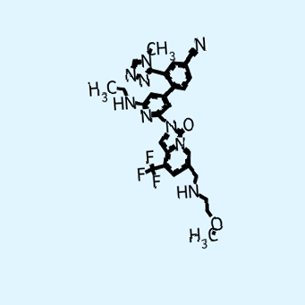 CCNc1cc(-c2ccc(C#N)cc2-c2nncn2C)cc(-n2cc3c(C(F)(F)F)cc(CNCCOC)cn3c2=O)n1